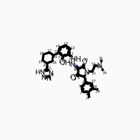 Cc1ccc(C2C(=O)/C(=N/Nc3cccc(C4CCCC(c5nnn[nH]5)C4)c3O)C(=O)N2CCN(C)C)cc1C